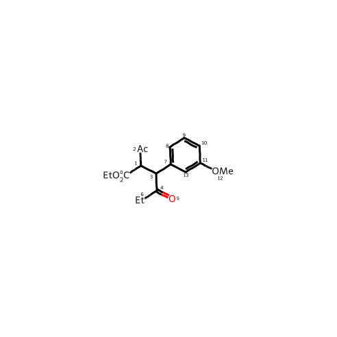 CCOC(=O)C(C(C)=O)C(C(=O)CC)c1cccc(OC)c1